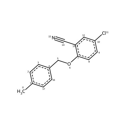 Cc1ccc(COc2ccc(Cl)cc2C#N)cc1